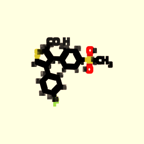 CS(=O)(=O)c1ccc(-c2c(-c3ccc(F)cc3)csc2C(=O)O)cc1